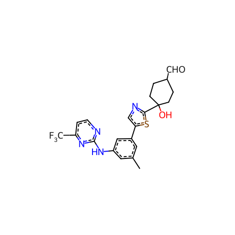 Cc1cc(Nc2nccc(C(F)(F)F)n2)cc(-c2cnc(C3(O)CCC(C=O)CC3)s2)c1